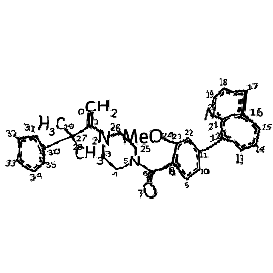 C=C(N1CCN(C(=O)c2ccc(-c3cccc4cccnc34)cc2OC)CC1)C(C)(C)c1ccccc1